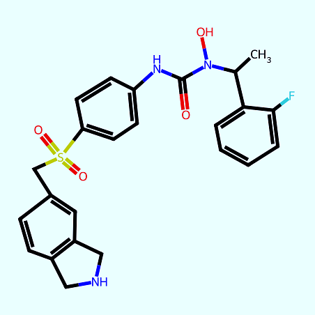 CC(c1ccccc1F)N(O)C(=O)Nc1ccc(S(=O)(=O)Cc2ccc3c(c2)CNC3)cc1